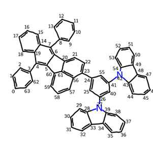 c1ccc(-c2c3c(c(-c4ccccc4)c4ccccc24)-c2ccc(-c4cc(-n5c6ccccc6c6ccccc65)cc(-n5c6ccccc6c6ccccc65)c4)c4cccc-3c24)cc1